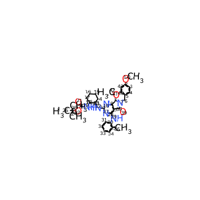 COc1ccc(CN2Cc3nc(N[C@@H]4CCCC[C@@H]4NC(=O)OC(C)(C)C)nc(Nc4ccccc4C)c3C2=O)c(OC)c1